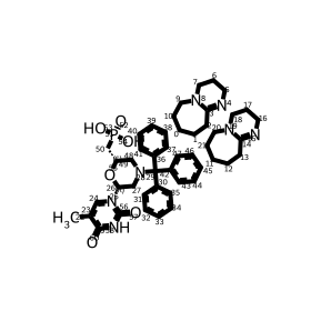 C1CCC2=NCCCN2CC1.C1CCC2=NCCCN2CC1.Cc1cn([C@H]2CN(C(c3ccccc3)(c3ccccc3)c3ccccc3)C[C@@H](CP(=O)(O)O)O2)c(=O)[nH]c1=O